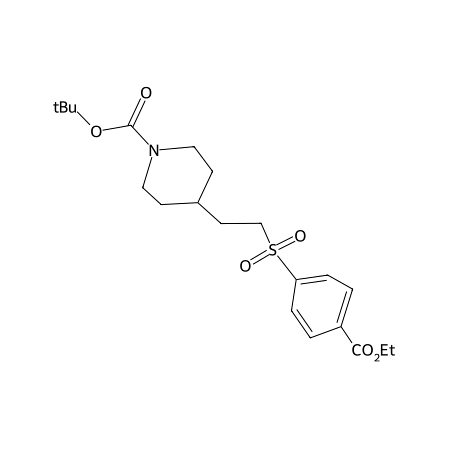 CCOC(=O)c1ccc(S(=O)(=O)CCC2CCN(C(=O)OC(C)(C)C)CC2)cc1